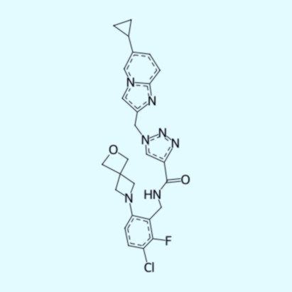 O=C(NCc1c(N2CC3(COC3)C2)ccc(Cl)c1F)c1cn(Cc2cn3cc(C4CC4)ccc3n2)nn1